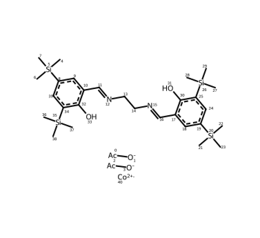 CC(=O)[O-].CC(=O)[O-].C[Si](C)(C)c1cc(C=NCCN=Cc2cc([Si](C)(C)C)cc([Si](C)(C)C)c2O)c(O)c([Si](C)(C)C)c1.[Co+2]